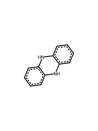 c1ccc2c(c1)Nc1ccccc1N2